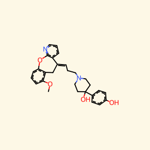 COc1cccc2c1CC(=CCCN1CCC(O)(c3ccc(O)cc3)CC1)c1cccnc1O2